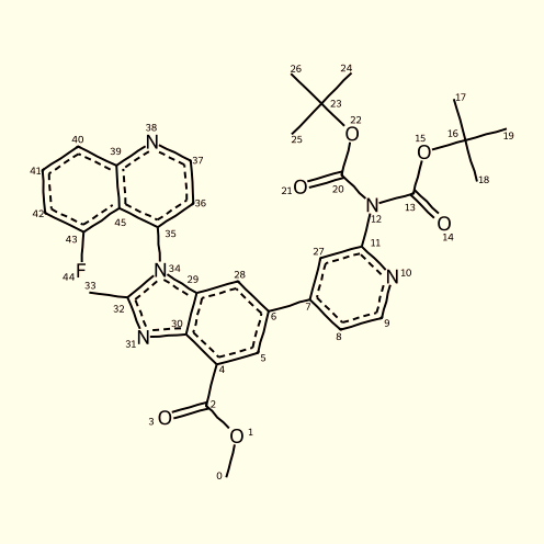 COC(=O)c1cc(-c2ccnc(N(C(=O)OC(C)(C)C)C(=O)OC(C)(C)C)c2)cc2c1nc(C)n2-c1ccnc2cccc(F)c12